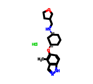 Cc1c(O[C@H]2CCC[C@@H](NCC3CCOC3)C2)ccc2[nH]ncc12.Cl